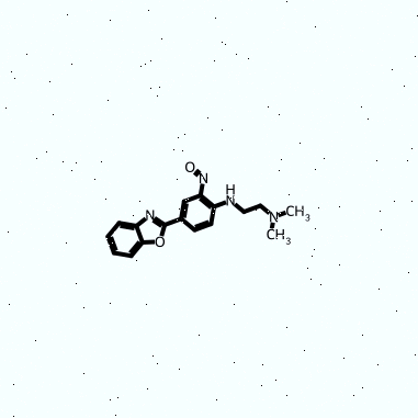 CN(C)CCNc1ccc(-c2nc3ccccc3o2)cc1N=O